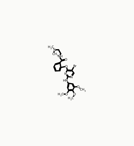 COc1cc(Nc2ncc(Br)c(Oc3ccccc3C(=O)NCCN(C)C)n2)cc(OC)c1OC